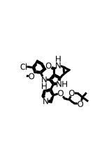 COc1c(Cl)cccc1Nc1c(-c2ccncc2OCC2COC(C)(C)CO2)[nH]c2c1C(=O)NC1CC21